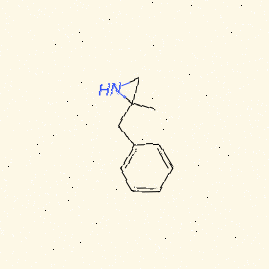 CC1(Cc2ccccc2)CN1